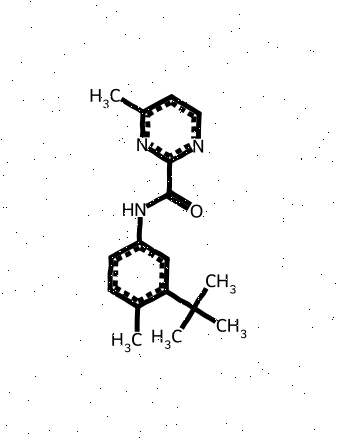 Cc1ccnc(C(=O)Nc2ccc(C)c(C(C)(C)C)c2)n1